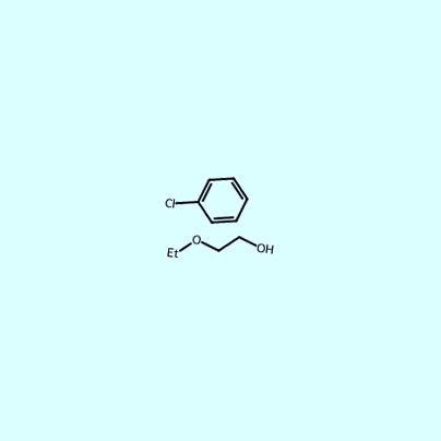 CCOCCO.Clc1ccccc1